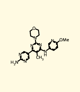 COc1ccc(Nc2nc(N3CCOCC3)nc(-c3cnc(N)nc3)c2C)cn1